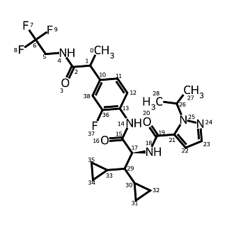 CC(C(=O)NCC(F)(F)F)c1ccc(NC(=O)[C@@H](NC(=O)c2ccnn2C(C)C)C(C2CC2)C2CC2)c(F)c1